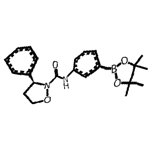 CC1(C)OB(c2cccc(NC(=O)N3OCC[C@H]3c3ccccc3)c2)OC1(C)C